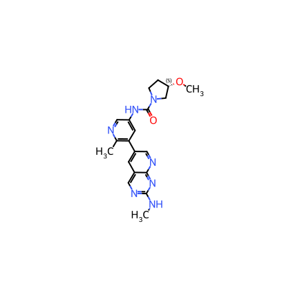 CNc1ncc2cc(-c3cc(NC(=O)N4CC[C@H](OC)C4)cnc3C)cnc2n1